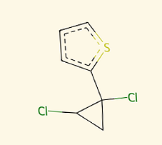 ClC1CC1(Cl)c1cccs1